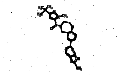 Cc1nc2ccc(-c3ccc4c(c3)CN(C(=O)c3cc(C(C)(C)C)nn3C)CCO4)cc2[nH]1